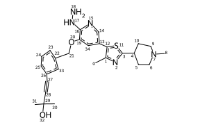 Cc1nc(C2CCN(C)CC2)sc1-c1cnc(NN)c(OCc2cccc(C#CC(C)(C)O)c2)c1